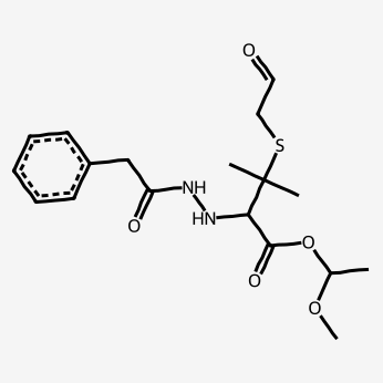 COC(C)OC(=O)C(NNC(=O)Cc1ccccc1)C(C)(C)SCC=O